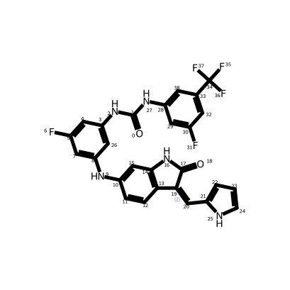 O=C(Nc1cc(F)cc(Nc2ccc3c(c2)NC(=O)/C3=C\c2ccc[nH]2)c1)Nc1cc(F)cc(C(F)(F)F)c1